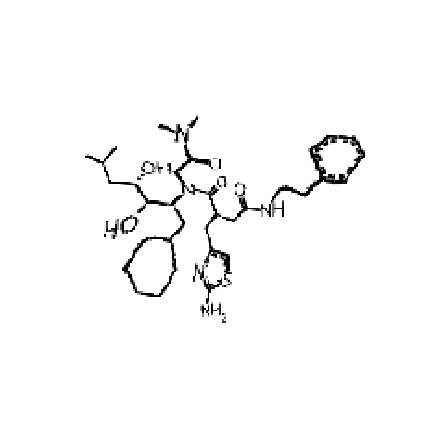 CC(C)C[C@H](O)[C@H](O)[C@H](CC1CCCCC1)N(CC(=O)N(C)C)C(=O)[C@@H](CC(=O)NCCc1ccccc1)Cc1csc(N)n1